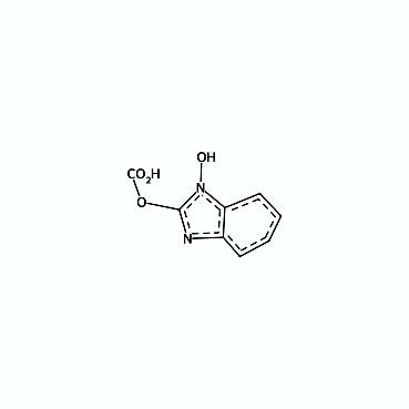 O=C(O)Oc1nc2ccccc2n1O